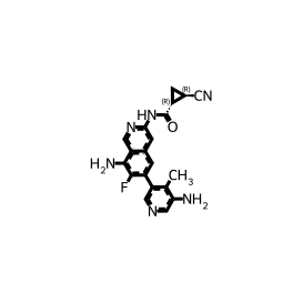 Cc1c(N)cncc1-c1cc2cc(NC(=O)[C@@H]3C[C@H]3C#N)ncc2c(N)c1F